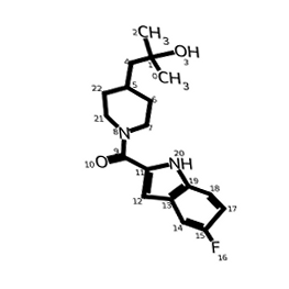 CC(C)(O)CC1CCN(C(=O)c2cc3cc(F)ccc3[nH]2)CC1